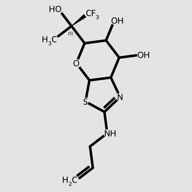 C=CCNC1=NC2C(OC([C@](C)(O)C(F)(F)F)C(O)C2O)S1